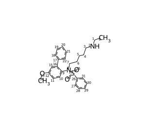 CCNCCCCCN(c1ccc(OC)cc1-c1ccccc1)S(=O)(=O)c1ccccc1